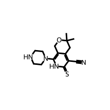 CC1(C)Cc2c(c(N3CCNCC3)[nH]c(=S)c2C#N)CO1